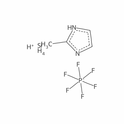 Cc1ncc[nH]1.F[P-](F)(F)(F)(F)F.[H+].[SiH4]